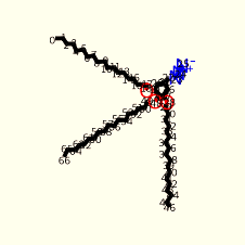 CCCCCCCCCCCCCCCCCCOc1cc(CN=[N+]=[N-])cc(OCCCCCCCCCCCCCCCCCC)c1OCCCCCCCCCCCCCCCCCC